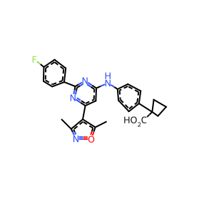 Cc1noc(C)c1-c1cc(Nc2ccc(C3(C(=O)O)CCC3)cc2)nc(-c2ccc(F)cc2)n1